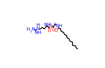 CCCCCCCCCCCCCC(=O)N[C@@H](C)C(=O)OC(=O)[C@@H](N)CCCNC(=N)N